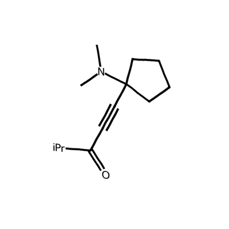 CC(C)C(=O)C#CC1(N(C)C)CCCC1